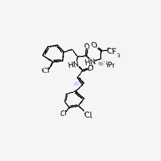 CC(C)[C@H](NC(=O)C(Cc1cccc(Cl)c1)NC(=O)/C=C/c1ccc(Cl)c(Cl)c1)C(=O)C(F)(F)F